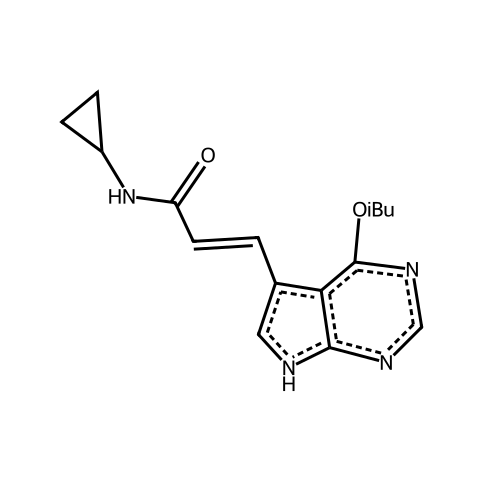 CC(C)COc1ncnc2[nH]cc(C=CC(=O)NC3CC3)c12